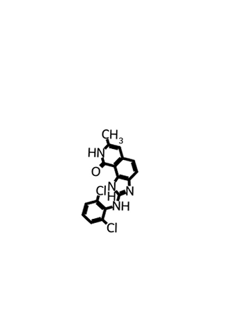 Cc1cc2ccc3nc(Nc4c(Cl)cccc4Cl)[nH]c3c2c(=O)[nH]1